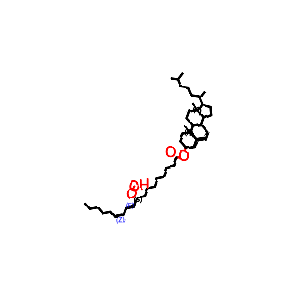 CCCCC/C=C\C=C\[C@H](CCCCCCCC(=O)OC1CC[C@@]2(C)C(=CCC3C4CCC(C(C)CCCC(C)C)[C@@]4(C)CCC32)C1)OO